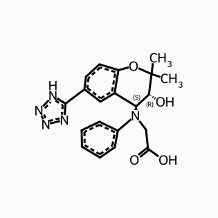 CC1(C)Oc2ccc(-c3nnn[nH]3)cc2[C@H](N(CC(=O)O)c2ccccc2)[C@H]1O